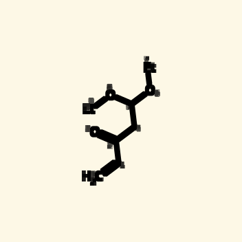 C=CC(=O)CC(OCC)OCC